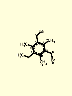 CCc1c(C)c(CBr)c(C)c(CBr)c1C